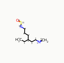 C=NCCC(CC)CCCN=S=O